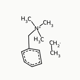 C[N+](C)(C)Cc1ccccc1.[CH2]C